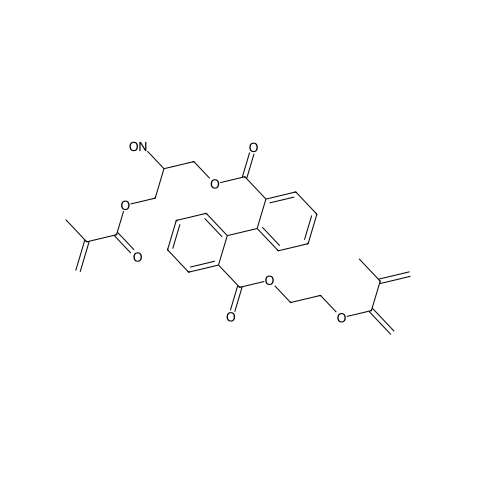 C=C(C)C(=C)OCCOC(=O)c1ccccc1-c1ccccc1C(=O)OCC(COC(=O)C(=C)C)N=O